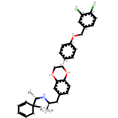 CC[C@H](N[C@@H](Cc1ccc2c(c1)OC[C@H](c1ccc(OCc3ccc(Cl)c(Cl)c3)cc1)O2)C(=O)O)C1(C)C=CC=CC1